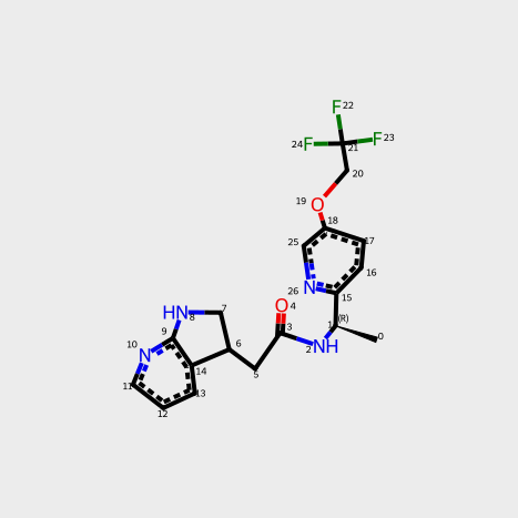 C[C@@H](NC(=O)CC1CNc2ncccc21)c1ccc(OCC(F)(F)F)cn1